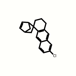 Clc1ccc2cc3c(cc2c1)CCCC31CC2C=CC1C2